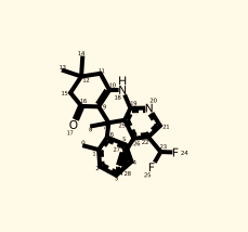 Cc1ccccc1C1(C)C2=C(CC(C)(C)CC2=O)Nc2ncc(C(F)F)c(C#N)c21